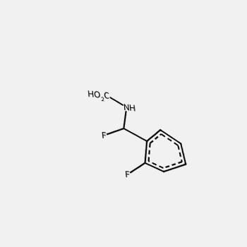 O=C(O)NC(F)c1ccccc1F